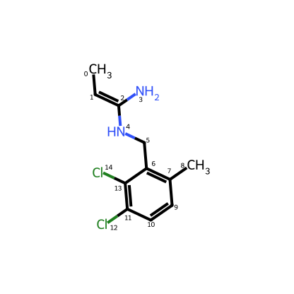 CC=C(N)NCc1c(C)ccc(Cl)c1Cl